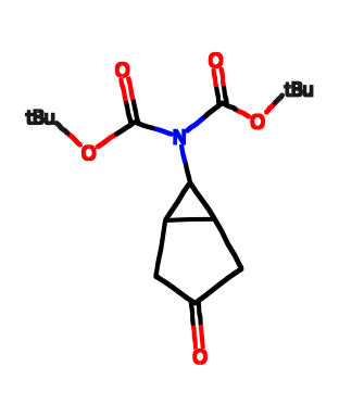 CC(C)(C)OC(=O)N(C(=O)OC(C)(C)C)C1C2CC(=O)CC21